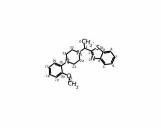 [CH2]C(c1nc2ccccc2s1)N1CCN(c2ccccc2OC)CC1